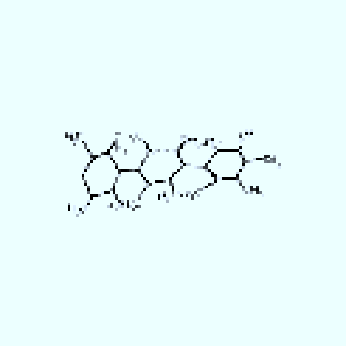 CC1CC(C)C(C)C(C2C(C)C(C)C(C3C(C)C(C)C(C)C(C)C3C)C(C)C2C)C1C